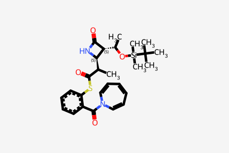 CC(C(=O)Sc1ccccc1C(=O)N1C=CC=CC=C1)[C@H]1NC(=O)[C@@H]1C(C)O[Si](C)(C)C(C)(C)C